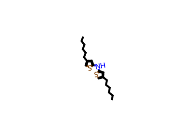 CCCCCCc1csc(Nc2cc(CCCCCC)cs2)c1